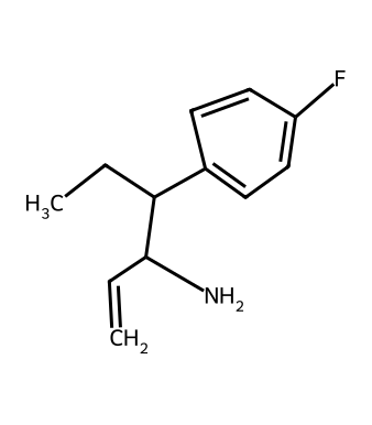 C=CC(N)C(CC)c1ccc(F)cc1